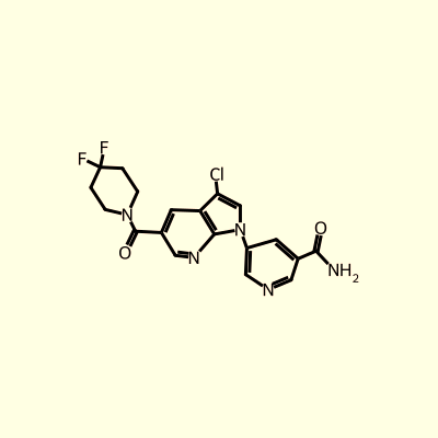 NC(=O)c1cncc(-n2cc(Cl)c3cc(C(=O)N4CCC(F)(F)CC4)cnc32)c1